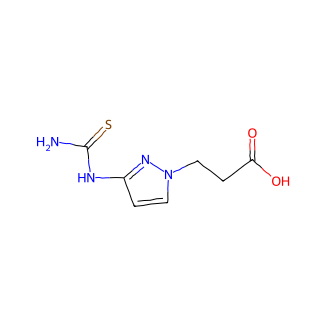 NC(=S)Nc1ccn(CCC(=O)O)n1